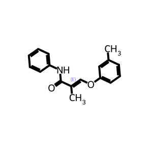 C/C(=C\Oc1cccc(C)c1)C(=O)Nc1ccccc1